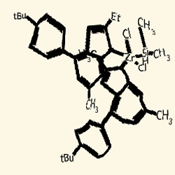 CCC1=Cc2c(-c3ccc(C(C)(C)C)cc3)cc(C)cc2[CH]1[Zr]([Cl])([Cl])([CH]1C(C)=Cc2c(-c3ccc(C(C)(C)C)cc3)cc(C)cc21)[SiH](C)C